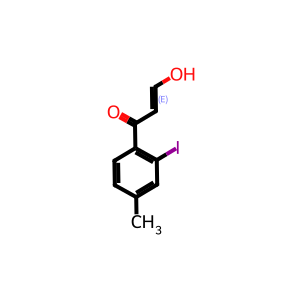 Cc1ccc(C(=O)/C=C/O)c(I)c1